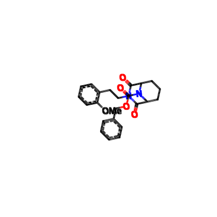 COc1ccccc1CCN1C(=O)C2CCCC(C1=O)N2C(=O)OCc1ccccc1